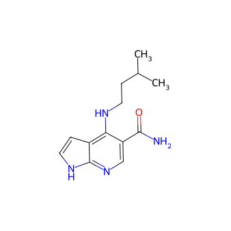 CC(C)CCNc1c(C(N)=O)cnc2[nH]ccc12